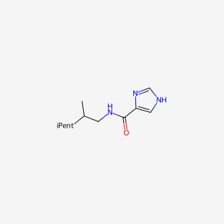 CCCC(C)C(C)CNC(=O)c1c[nH]cn1